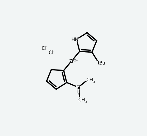 C[SiH](C)C1=[C]([Zr+2][c]2[nH]ccc2C(C)(C)C)CC=C1.[Cl-].[Cl-]